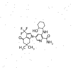 CC1(C)CC(=O)c2c(C(F)(F)F)cn(-c3cnc(C(N)=O)c(NC4CCCCC4O)c3)c2C1